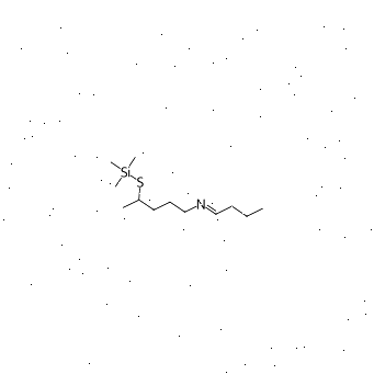 CCCC=NCCCC(C)S[Si](C)(C)C